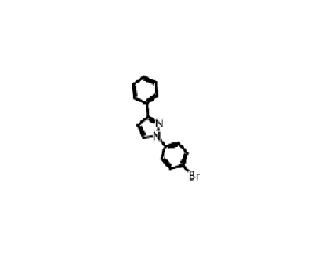 Brc1ccc(-n2ccc(-c3ccccc3)n2)cc1